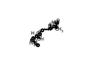 Cc1c(OC2CCC(CCCCN3CCN(c4ccc5c(C6CCC(=O)NC6=O)nn(C)c5c4)[C@H](C(F)(F)F)C3)CC2)cccc1-c1ccc(N2CCc3cccc(C(=O)Nc4nc5ccccc5s4)c3C2)nc1C(=O)O